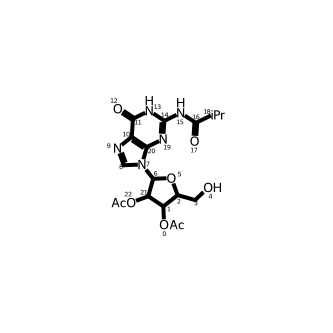 CC(=O)OC1C(CO)OC(n2cnc3c(=O)[nH]c(NC(=O)C(C)C)nc32)C1OC(C)=O